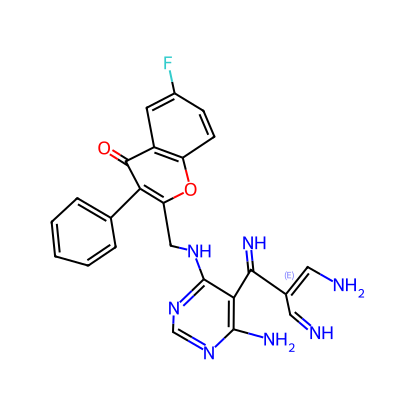 N=C/C(=C\N)C(=N)c1c(N)ncnc1NCc1oc2ccc(F)cc2c(=O)c1-c1ccccc1